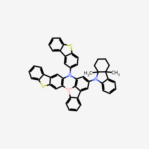 CC12CCCCC1(C)N(c1cc3c4c(c1)N(c1ccc5sc6ccccc6c5c1)c1cc5c(cc1B4c1ccccc1-3)sc1ccccc15)c1ccccc12